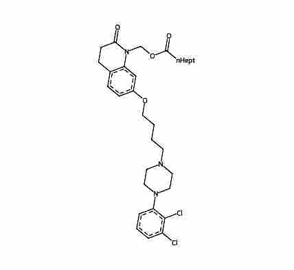 CCCCCCCC(=O)OCN1C(=O)CCc2ccc(OCCCCN3CCN(c4cccc(Cl)c4Cl)CC3)cc21